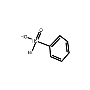 O=[SH](O)(Br)c1ccccc1